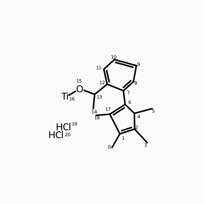 CC1=C(C)C(C)C(c2ccccc2C(C)[O][Ti])=C1C.Cl.Cl